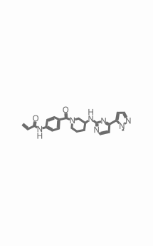 C=CC(=O)Nc1ccc(C(=O)N2CCCC(Nc3nccc(-c4ccnn4C)n3)C2)cc1